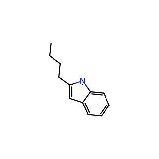 CCCCC1=Cc2ccccc2[N]1